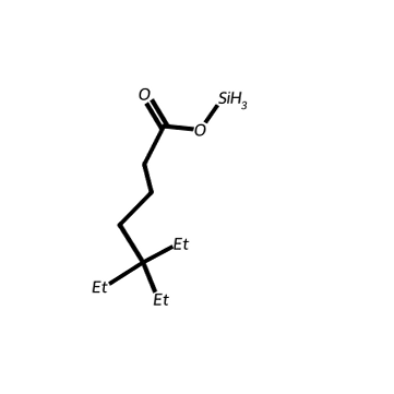 CCC(CC)(CC)CCCC(=O)O[SiH3]